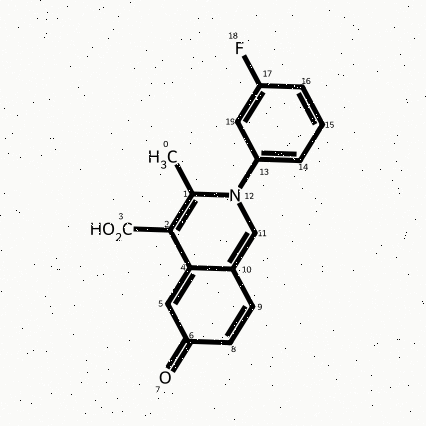 Cc1c(C(=O)O)c2cc(=O)ccc-2cn1-c1cccc(F)c1